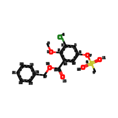 COc1c(Cl)cc(OS(C)(=O)=O)cc1C(=O)OCc1ccccc1